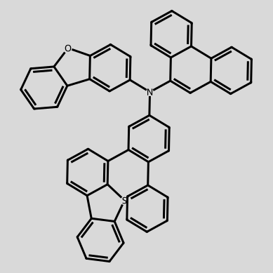 c1ccc(-c2ccc(N(c3ccc4oc5ccccc5c4c3)c3cc4ccccc4c4ccccc34)cc2-c2cccc3c2sc2ccccc23)cc1